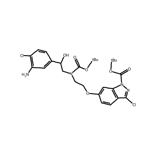 CC(C)(C)OC(=O)N(CCOc1ccc2c(Cl)nn(C(=O)OC(C)(C)C)c2c1)CC(O)c1ccc(Cl)c(N)c1